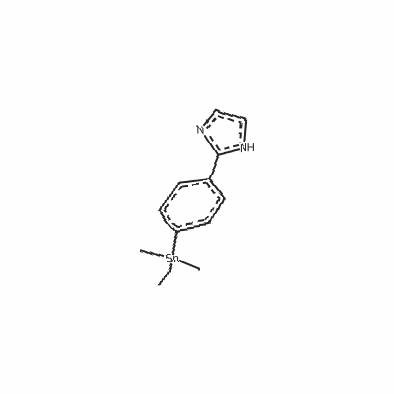 [CH3][Sn]([CH3])([CH3])[c]1ccc(-c2ncc[nH]2)cc1